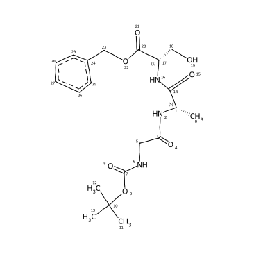 C[C@H](NC(=O)CNC(=O)OC(C)(C)C)C(=O)N[C@@H](CO)C(=O)OCc1ccccc1